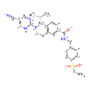 CCS(=O)(=O)c1ccc(CNC(=O)c2ccc3c(c2)CCN(c2ncc(C#N)cn2)[C@@H]3C(C)C)cc1